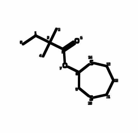 CCC(C)(C)C(=O)OC1CSCCCS1